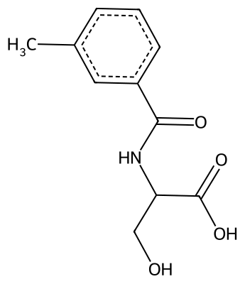 Cc1cccc(C(=O)NC(CO)C(=O)O)c1